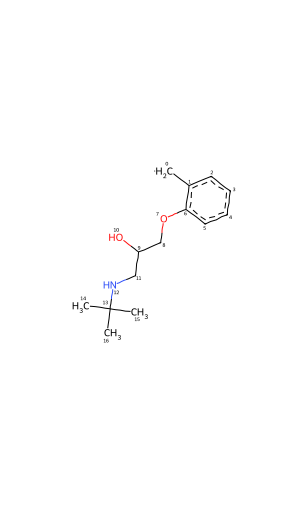 [CH2]c1ccccc1OCC(O)CNC(C)(C)C